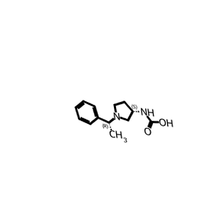 C[C@H](c1ccccc1)N1CC[C@H](NC(=O)O)C1